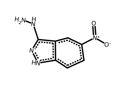 NNc1n[nH]c2ccc([N+](=O)[O-])cc12